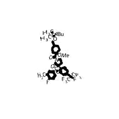 COC1(C(=O)N2CC[C@](c3ccc(C(F)(C(F)(F)F)C(F)(F)F)cc3)(S(=O)(=O)c3ccc(F)c(C)c3)C2)CCC(CO[Si](C)(C)C(C)(C)C)CC1